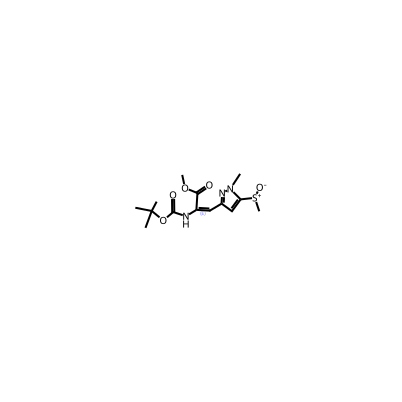 COC(=O)/C(=C\c1cc([S+](C)[O-])n(C)n1)NC(=O)OC(C)(C)C